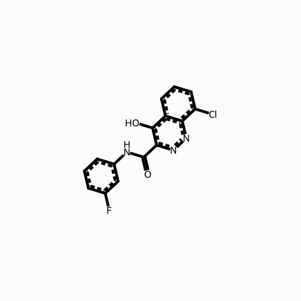 O=C(Nc1cccc(F)c1)c1nnc2c(Cl)cccc2c1O